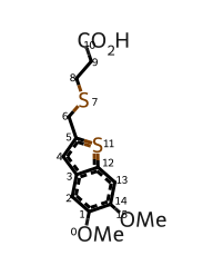 COc1cc2cc(CSCCC(=O)O)sc2cc1OC